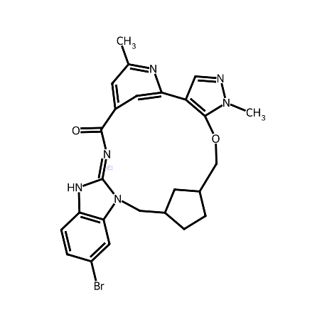 Cc1cc2cc(n1)-c1cnn(C)c1OCC1CCC(C1)CN1/C(=N/C2=O)Nc2ccc(Br)cc21